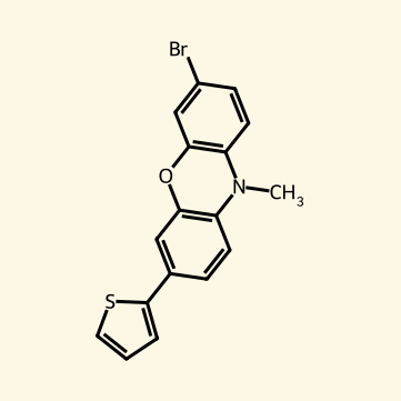 CN1c2ccc(Br)cc2Oc2cc(-c3cccs3)ccc21